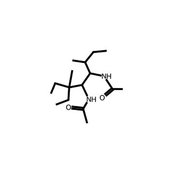 CCC(C)C(NC(C)=O)C(NC(C)=O)C(C)(CC)CC